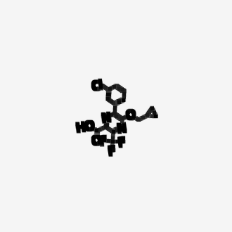 O=C(O)c1nc(-c2cccc(Cl)c2)c(OCC2CC2)nc1C(F)(F)F